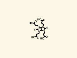 O=C(O)CCN1C(=O)N(CCC(=O)O)C2C1N(CCC(=O)O)C(=O)N2CCC(=O)O